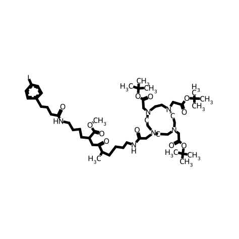 COC(=O)C(CCCCNC(=O)CCCc1ccc(I)cc1)CC(=O)C(C)CCCCNC(=O)CN1CCN(CC(=O)OC(C)(C)C)CCN(CC(=O)OC(C)(C)C)CCN(CC(=O)OC(C)(C)C)CC1